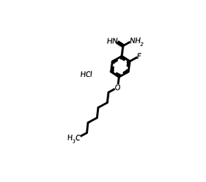 CCCCCCCOc1ccc(C(=N)N)c(F)c1.Cl